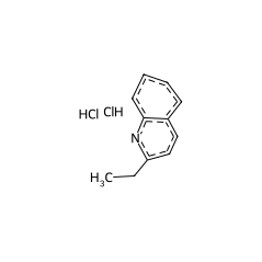 CCc1ccc2ccccc2n1.Cl.Cl